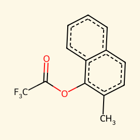 Cc1ccc2ccccc2c1OC(=O)C(F)(F)F